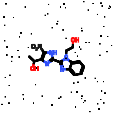 CC(O)c1nc(-c2nc3ccccc3n2CCO)[nH]c1[N+](=O)[O-]